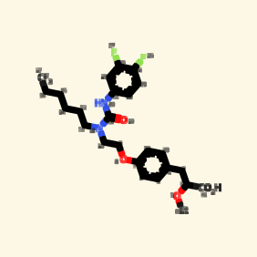 CCOC(Cc1ccc(OCCN(CCCCCC(F)(F)F)C(=O)Nc2ccc(F)c(F)c2)cc1)C(=O)O